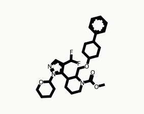 COC(=O)N1CCCC(c2c(C(F)F)cnn2C2CCCCO2)C1COC1CCC(c2ccccc2)CC1